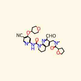 CN(Cc1cc2c(nc1C=O)N(C(=O)Nc1cc(OC3CCOCC3)c(C#N)cn1)CCC2)C(=O)C1CCCO1